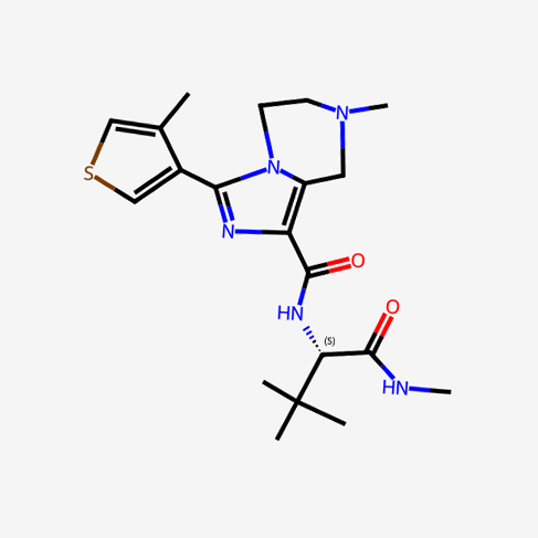 CNC(=O)[C@@H](NC(=O)c1nc(-c2cscc2C)n2c1CN(C)CC2)C(C)(C)C